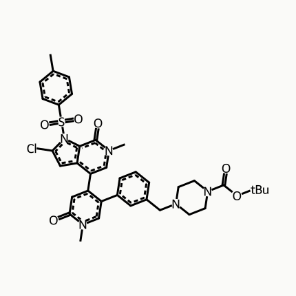 Cc1ccc(S(=O)(=O)n2c(Cl)cc3c(-c4cc(=O)n(C)cc4-c4cccc(CN5CCN(C(=O)OC(C)(C)C)CC5)c4)cn(C)c(=O)c32)cc1